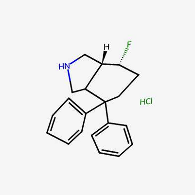 Cl.F[C@@H]1CCC(c2ccccc2)(c2ccccc2)C2CNC[C@@H]21